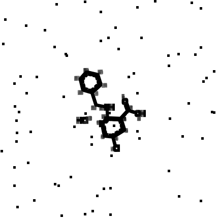 Cl.O=C(O)c1cc(Cl)cnc1NCc1ccccc1